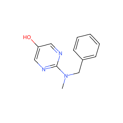 CN(Cc1ccccc1)c1ncc(O)cn1